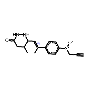 C#CC[S+]([O-])c1ccc(/C(C)=C/C2NNC(=O)CC2C)cc1